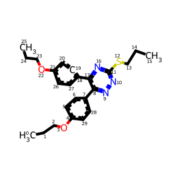 CCCOc1ccc(-c2nnc(SCCC)nc2-c2ccc(OCCC)cc2)cc1